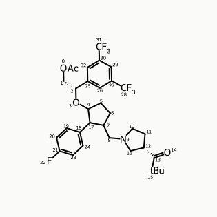 CC(=O)OC[C@@H](OC1CCC(CN2CC[C@H](C(=O)C(C)(C)C)C2)C1c1ccc(F)cc1)c1cc(C(F)(F)F)cc(C(F)(F)F)c1